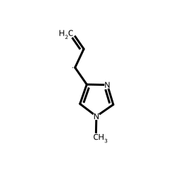 C=C[CH]c1cn(C)cn1